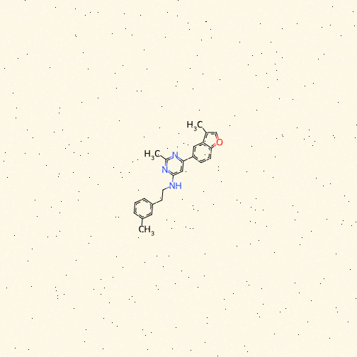 Cc1cccc(CCNc2cc(-c3ccc4occ(C)c4c3)nc(C)n2)c1